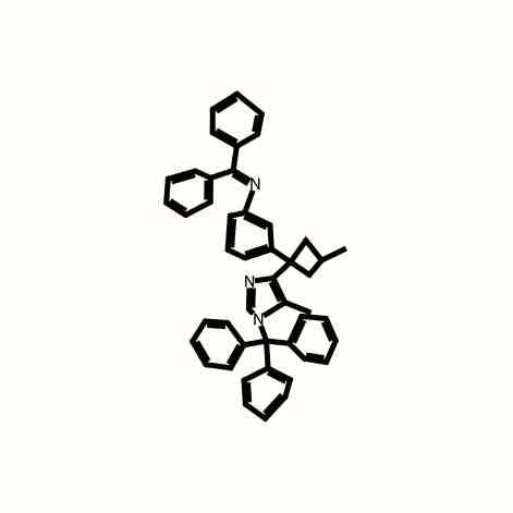 Cc1c(C2(c3cccc(N=C(c4ccccc4)c4ccccc4)c3)CC(C)C2)ncn1C(c1ccccc1)(c1ccccc1)c1ccccc1